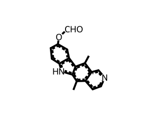 Cc1c2ccncc2c(C)c2c1[nH]c1ccc(OC=O)cc12